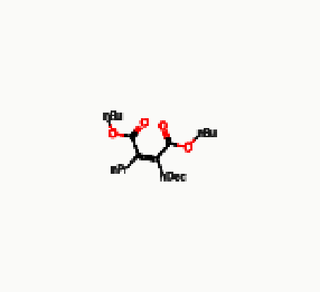 CCCCCCCCCC/C(C(=O)OCCCC)=C(\CCC)C(=O)OCCCC